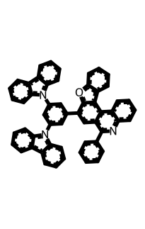 c1ccc(-c2nc3ccccc3c3c2cc(-c2cc(-n4c5ccccc5c5ccccc54)cc(-n4c5ccccc5c5ccccc54)c2)c2oc4ccccc4c23)cc1